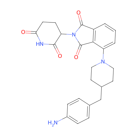 Nc1ccc(CC2CCN(c3cccc4c3C(=O)N(C3CCC(=O)NC3=O)C4=O)CC2)cc1